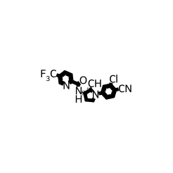 C[C@H]1[C@@H](NC(=O)c2ccc(C(F)(F)F)cn2)CCN1c1ccc(C#N)c(Cl)c1